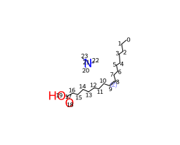 CCCCCCCC/C=C\CCCCCCCC(=O)O.CN(C)C